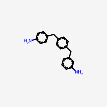 Nc1ccc(Cc2ccc(Cc3cccc(N)c3)cc2)cc1